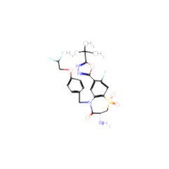 CC(C)(C)c1nnc(-c2cc3c(cc2F)S(=O)(=O)C[C@H](N)C(=O)N3Cc2ccc(OCC(F)F)cc2)o1